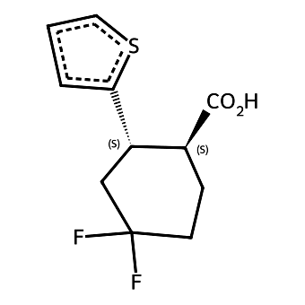 O=C(O)[C@H]1CCC(F)(F)C[C@@H]1c1cccs1